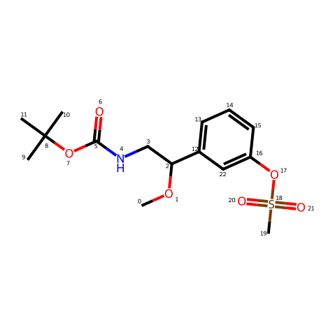 COC(CNC(=O)OC(C)(C)C)c1cccc(OS(C)(=O)=O)c1